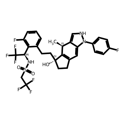 C[C@H]1C2=CNN(c3ccc(F)cc3)C2=CC2=C1[C@](O)(CCc1cccc(F)c1[C@@H](NS(=O)(=O)CC(F)(F)F)C(F)(F)F)CC2